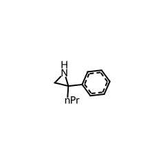 CCCC1(c2ccccc2)CN1